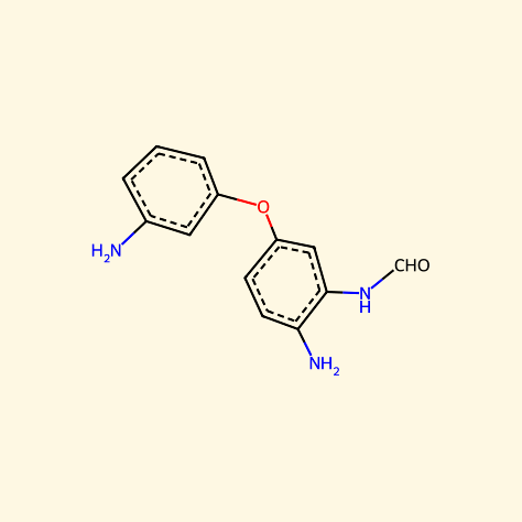 Nc1cccc(Oc2ccc(N)c(NC=O)c2)c1